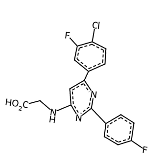 O=C(O)CNc1cc(-c2ccc(Cl)c(F)c2)nc(-c2ccc(F)cc2)n1